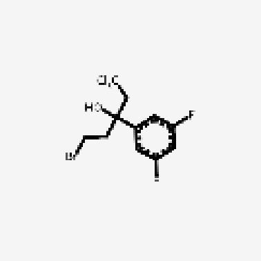 OC(CCBr)(CC(Cl)(Cl)Cl)c1cc(F)cc(F)c1